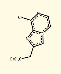 CCOC(=O)Cc1cn2ccnc(Cl)c2n1